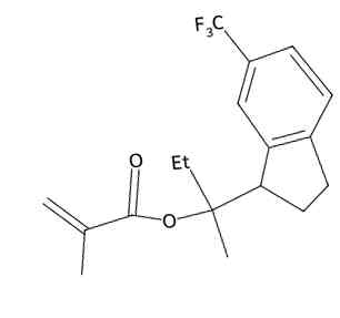 C=C(C)C(=O)OC(C)(CC)C1CCc2ccc(C(F)(F)F)cc21